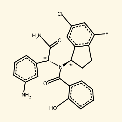 NC(=O)[C@@H](c1cccc(N)c1)N(C(=O)c1ccccc1O)[C@@H]1CCc2c(F)cc(Cl)cc21